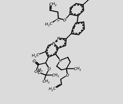 C=CCOC1(C)CCN(c2c(C(OC(C)(C)C)C(=O)O)c(C)cn3nc(-c4cccc(-c5cc(F)ccc5O[C@@H](C)CC=C)c4)cc23)CC1